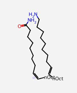 CCCCCCCC/C=C\CCCCCCCC(N)=O.CCCCCCCCC=CCCCCCCCCN